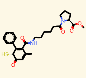 COC(=O)[C@@H]1CCCN1C(=O)CCCCCNC(=O)C1=C(c2ccccc2)[C@@H](S)C(=O)C=C1C